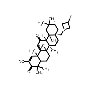 CC1(C)CC[C@]2(CN3CC(F)C3)CC[C@]3(C)[C@H](C(=O)C=C4[C@@]5(C)C=C(C#N)C(=O)C(C)(C)C5CC[C@]43C)[C@]2(C)C1